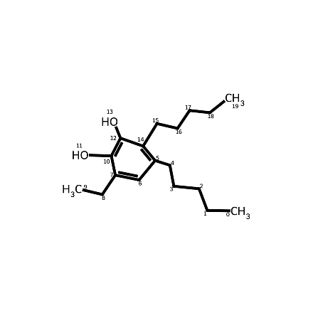 CCCCCc1cc(CC)c(O)c(O)c1CCCCC